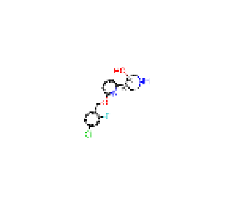 O[C@H]1CNCC[C@H]1c1cccc(OCc2ccc(Cl)cc2F)n1